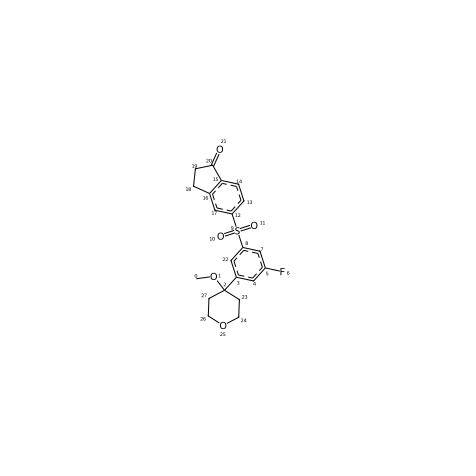 COC1(c2cc(F)cc(S(=O)(=O)c3ccc4c(c3)CCC4=O)c2)CCOCC1